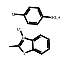 CC[n+]1c(C)sc2ccccc21.O=S(=O)(O)c1ccc(Cl)cc1